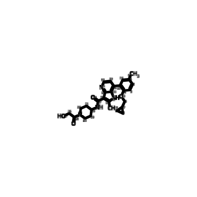 Cc1ccc(OCC2CC2)c(-c2ccnc3c(C(=O)NC4CCN(C(=O)CO)CC4)c(C)[nH]c23)c1